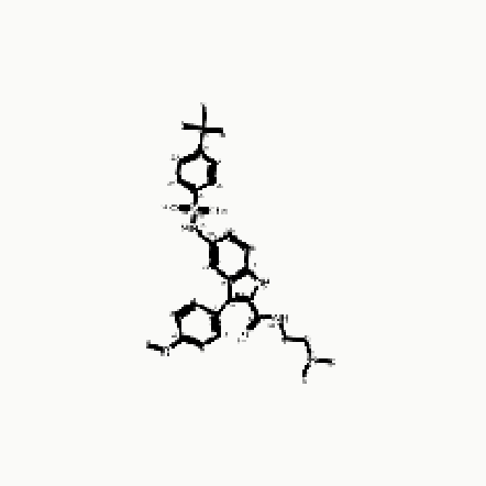 COc1ccc(-c2c(C(=O)NCCN(C)C)[nH]c3ccc(NS(=O)(=O)c4ccc(C(C)(C)C)cc4)cc23)cc1